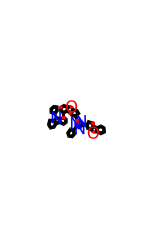 c1ccc(-c2nc(-c3ccc4c(c3)oc3ccccc34)nc(-c3ccc4oc5cccc(-c6cccc7c8ccccc8n(-c8ccccc8)c67)c5c4c3)n2)cc1